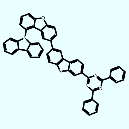 c1ccc(-c2nc(-c3ccccc3)nc(-c3ccc4c(c3)sc3ccc(-c5ccc6oc7cccc(-n8c9ccccc9c9ccccc98)c7c6c5)cc34)n2)cc1